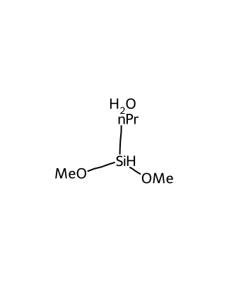 CCC[SiH](OC)OC.O